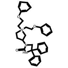 O=C1NC(c2ccccc2)(c2ccccc2)CN1C1CC[N+](CCOc2ccccc2)(CCOc2ccccc2)C1